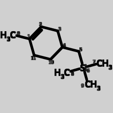 CC1=CCC(C[Si](C)(C)C)CC1